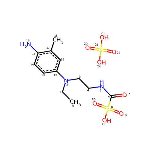 CCN(CCNC(=O)S(=O)(=O)O)c1ccc(N)c(C)c1.O=S(=O)(O)O